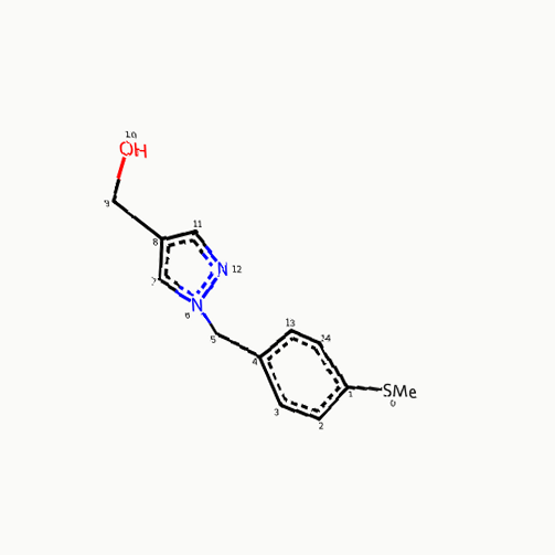 CSc1ccc(Cn2cc(CO)cn2)cc1